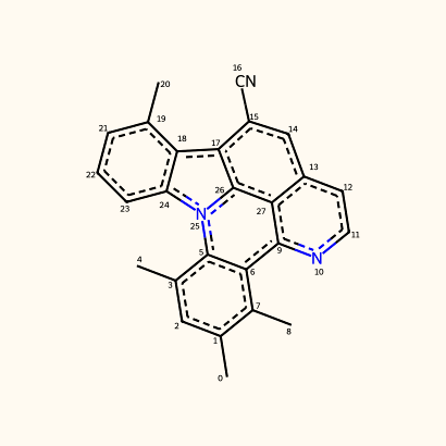 Cc1cc(C)c2c(c1C)c1nccc3cc(C#N)c4c5c(C)cccc5n2c4c31